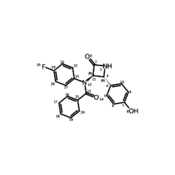 O=C1N[C@H](c2ccc(O)cc2)[C@H]1N(C(=O)c1ccccc1)c1ccc(F)cc1